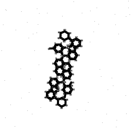 Cc1ccc(C)c(N(c2ccc3ccc4c(N(c5cc(C)ccc5C)c5cccc6c5oc5c(C7CCCCC7)cccc56)ccc5ccc2c3c54)c2cccc3c2oc2c(C4CCCCC4)cccc23)c1